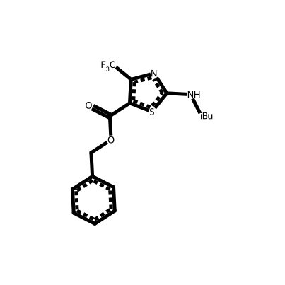 CCC(C)Nc1nc(C(F)(F)F)c(C(=O)OCc2ccccc2)s1